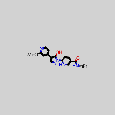 CCCNC(=O)C1=CNC(n2ncc(-c3ccnc(OC)c3)c2O)C=C1